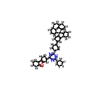 c1ccc(-c2nc(-c3ccc(-c4ccc5c(c4)-c4ccccc4C54c5cccc6ccc7cccc4c7c56)cc3)nc(-c3ccc4c(c3)oc3ccccc34)n2)cc1